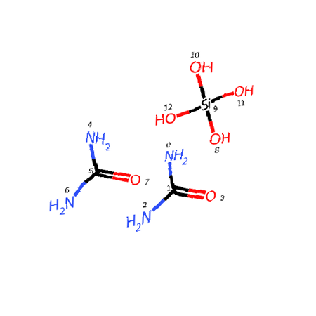 NC(N)=O.NC(N)=O.O[Si](O)(O)O